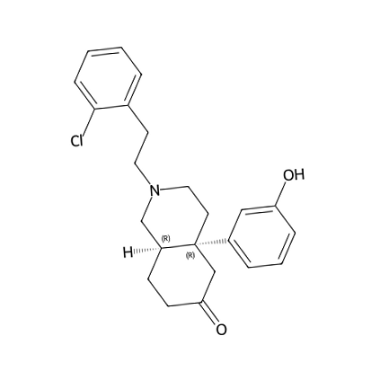 O=C1CC[C@H]2CN(CCc3ccccc3Cl)CC[C@@]2(c2cccc(O)c2)C1